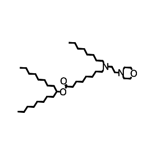 CCCCCCCCC(CCCCCCCC)OC(=O)CCCCCCCN(CCCCCCCC)CCN1CCOCC1